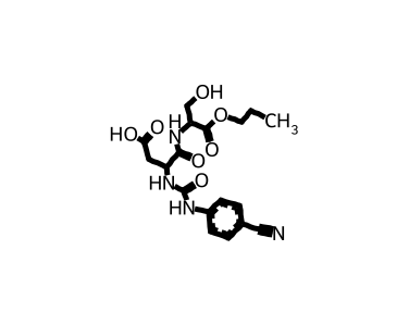 CCCOC(=O)C(CO)NC(=O)C(CC(=O)O)NC(=O)Nc1ccc(C#N)cc1